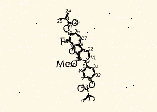 C=C(C)C(=O)Oc1ccc(-c2ccc3c(oc4c(F)c(OC(=O)C(=C)C)ccc43)c2OC)cc1